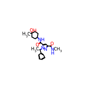 CNC(=O)c1cc(C(=O)NC2CCC(C)(O)CC2)n([C@@H](C)c2ccccc2)n1